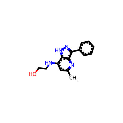 Cc1cc(NCCO)c2[nH]nc(-c3ccccc3)c2n1